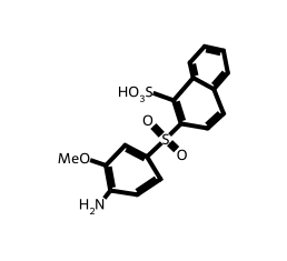 COc1cc(S(=O)(=O)c2ccc3ccccc3c2S(=O)(=O)O)ccc1N